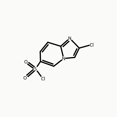 O=S(=O)(Cl)c1ccc2nc(Cl)cn2c1